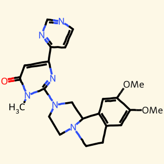 COc1cc2c(cc1OC)C1CN(c3nc(-c4ccncn4)cc(=O)n3C)CCN1CC2